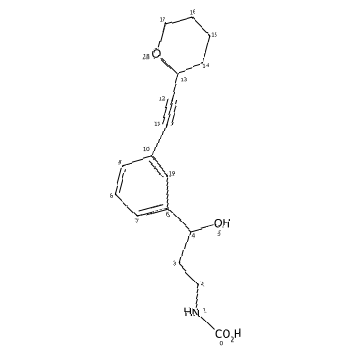 O=C(O)NCCC(O)c1cccc(C#CC2CCCCO2)c1